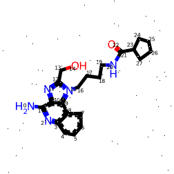 Nc1nc2ccccc2c2c1nc(CO)n2CCCCNC(=O)C1CCCC1